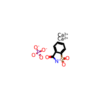 O=C1[N-]S(=O)(=O)c2ccccc21.O=P([O-])([O-])[O-].[Ca+2].[Ca+2]